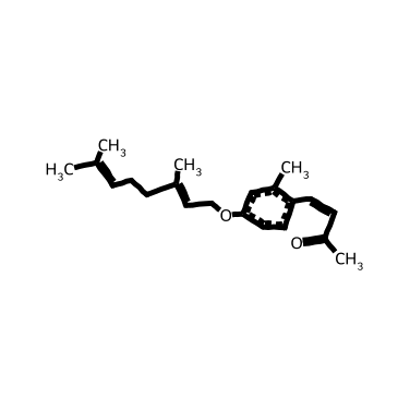 CC(=O)/C=C\c1ccc(OC/C=C(\C)CCC=C(C)C)cc1C